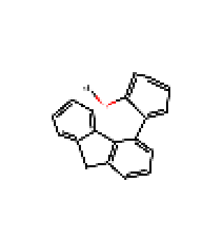 CCOc1ccccc1-c1cccc2c1-c1ccccc1C2